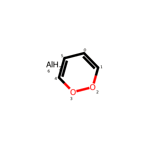 C1=COOC=C1.[AlH3]